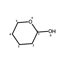 O[C]1CCCCO1